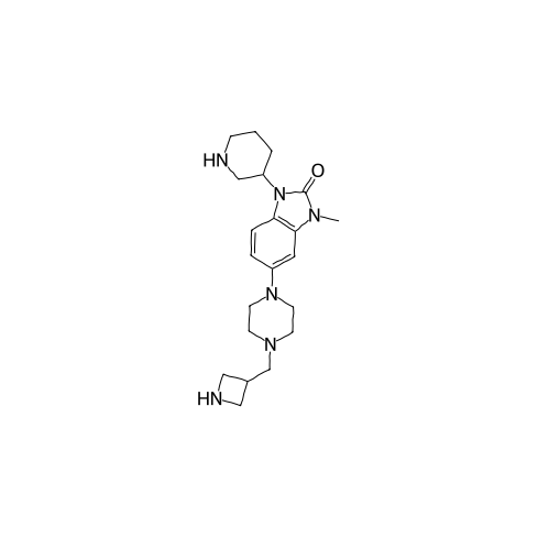 Cn1c(=O)n(C2CCCNC2)c2ccc(N3CCN(CC4CNC4)CC3)cc21